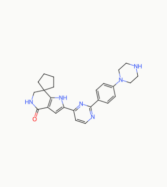 O=C1NCC2(CCCC2)c2[nH]c(-c3ccnc(-c4ccc(N5CCNCC5)cc4)n3)cc21